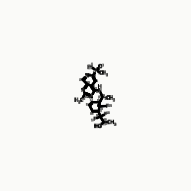 CCP(C)(=O)c1cc2c(N[C@H](C)c3cccc(C(F)(F)[C@@H](C)O)c3F)nc(C)nc2cn1